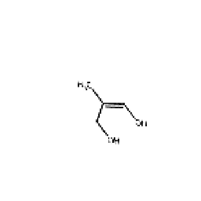 CC(=CO)CO